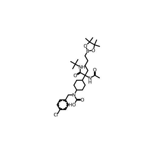 CC(=O)NC(CCCCB1OC(C)(C)C(C)(C)O1)(C(=O)NC(C)(C)C)C1CCC(N(Cc2ccc(Cl)cc2)C(=O)O)CC1